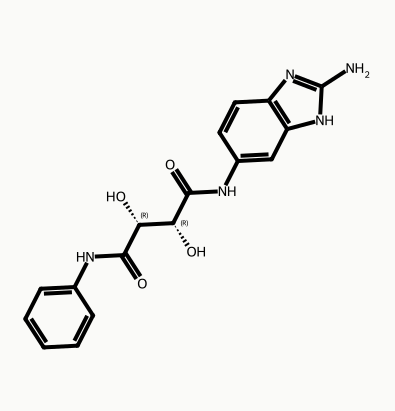 Nc1nc2ccc(NC(=O)[C@H](O)[C@@H](O)C(=O)Nc3ccccc3)cc2[nH]1